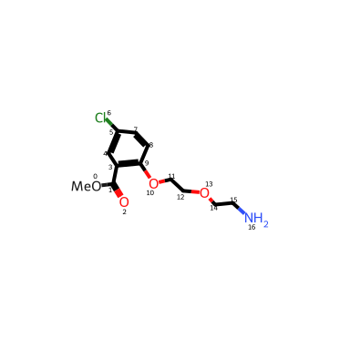 COC(=O)c1cc(Cl)ccc1OCCOCCN